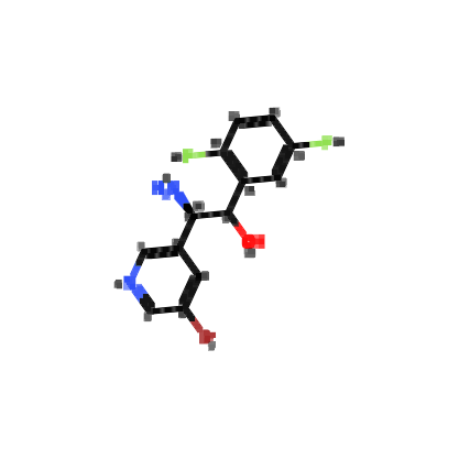 N[C@H](c1cncc(Br)c1)C(O)c1cc(F)ccc1F